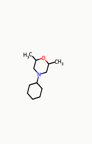 CC1CN([C]2CCCCC2)CC(C)O1